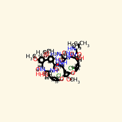 CN[C@H](CC(C)C)C(=O)N[C@H]1C(=O)N[C@@H](CC(N)=O)C(=O)N[C@H]2C(=N)N[C@H]3C(=O)N[C@H](C(=O)N[C@H](CO)c4cc(OC)cc(OC)c4-c4cc3ccc4OC)[C@H](O)c3ccc(c(Cl)c3)Oc3cc2cc(c3OC)Oc2ccc(cc2Cl)[C@H]1O